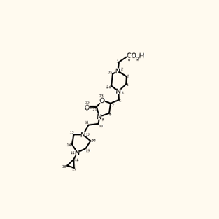 O=C(O)CN1CCN(CC2CN(CCN3CCN(C4CC4)CC3)C(=O)O2)CC1